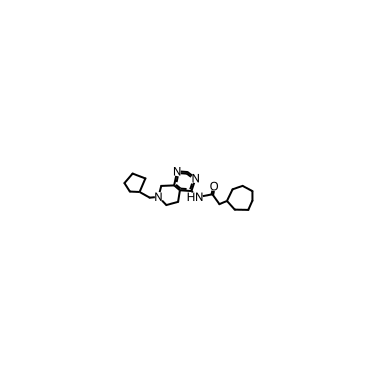 O=C(CC1CCCCCC1)Nc1ncnc2c1CCN(CC1CCCC1)C2